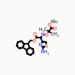 CC(C)(C)OC(=O)C(C)(C)O/N=C(/C(=O)OCC1c2ccccc2-c2ccccc21)c1csc(N)n1